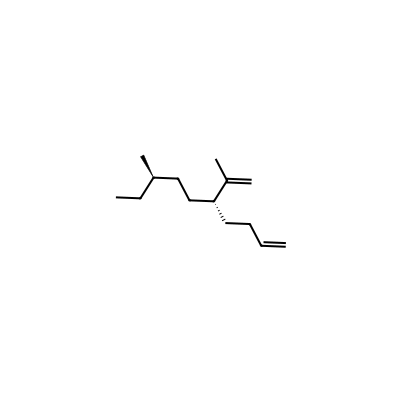 C=CCC[C@H](CC[C@H](C)CC)C(=C)C